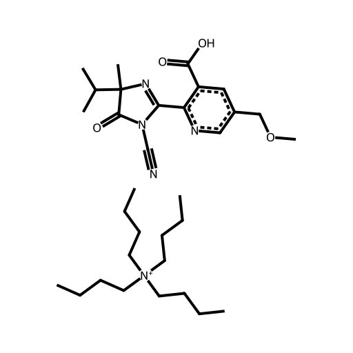 CCCC[N+](CCCC)(CCCC)CCCC.COCc1cnc(C2=NC(C)(C(C)C)C(=O)N2C#N)c(C(=O)O)c1